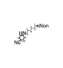 CCCCCCCCCCCCCCCNc1ccc(C#N)cc1